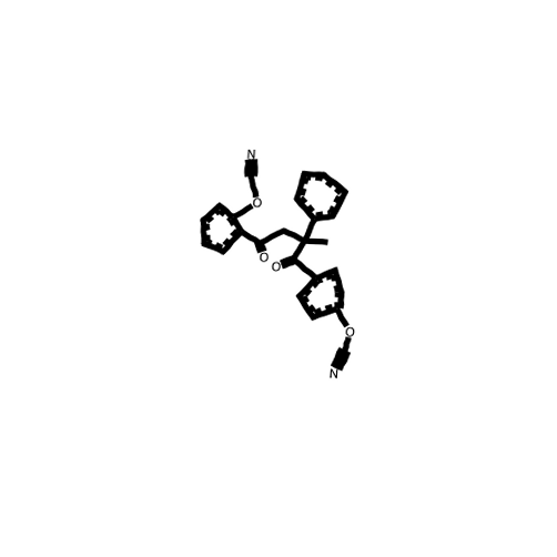 CC(CC(=O)c1ccccc1OC#N)(C(=O)c1ccc(OC#N)cc1)c1ccccc1